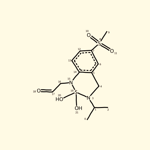 CC(C)N1Cc2cc(S(C)(=O)=O)ccc2N(CC=O)S1(O)O